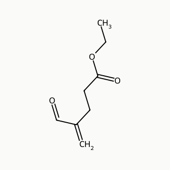 C=C(C=O)CCC(=O)OCC